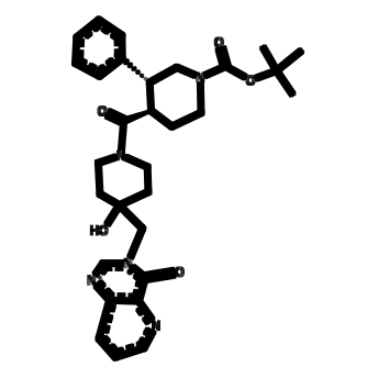 CC(C)(C)OC(=O)N1CC[C@@H](C(=O)N2CCC(O)(Cn3cnc4cccnc4c3=O)CC2)[C@H](c2ccccc2)C1